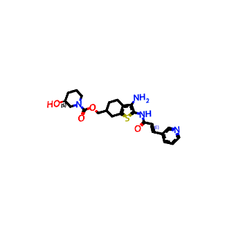 Nc1c(NC(=O)/C=C/c2cccnc2)sc2c1CCC(COC(=O)N1CCC[C@H](O)C1)C2